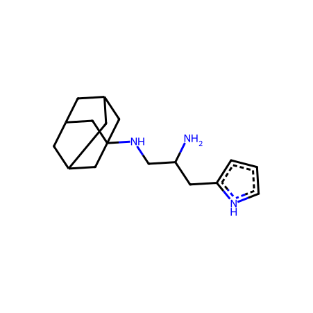 NC(CNC12CC3CC(CC(C3)C1)C2)Cc1ccc[nH]1